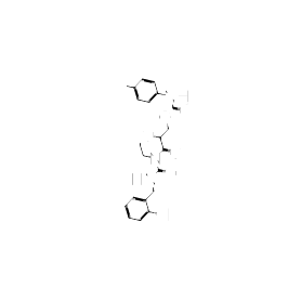 CCc1ccc(NC(=O)OCC2OCCN(C(=O)NCc3ccccc3Cl)C2=O)cc1